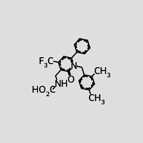 Cc1ccc(Cn2c(-c3ccccc3)cc(C(F)(F)F)c(CNC(=O)O)c2=O)c(C)c1